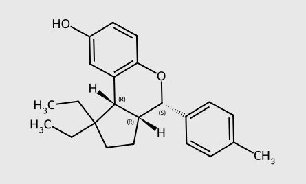 CCC1(CC)CC[C@H]2[C@@H](c3ccc(C)cc3)Oc3ccc(O)cc3[C@H]21